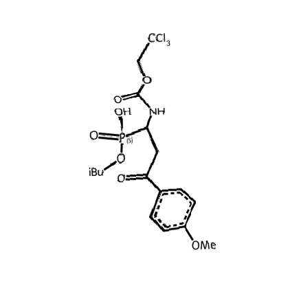 CCC(C)O[P@@](=O)(O)C(CC(=O)c1ccc(OC)cc1)NC(=O)OCC(Cl)(Cl)Cl